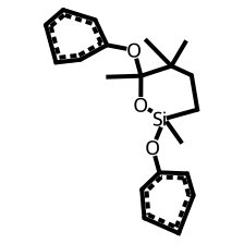 CC1(C)CC[Si](C)(Oc2ccccc2)OC1(C)Oc1ccccc1